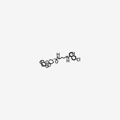 O=C(C[C@H]1CC[C@]2(CC1)OO[C@]1(O2)C2CC3CC(C2)CC1C3)NCCCCNc1ccnc2cc(Cl)ccc12